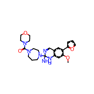 COc1cc2c(cc1-c1ccco1)C=NC(N)(N1CCCN(C(=O)N3CCOCC3)CC1)N2